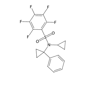 O=S(=O)(c1c(F)c(F)c(F)c(F)c1F)N(C1CC1)C1(c2ccccc2)CC1